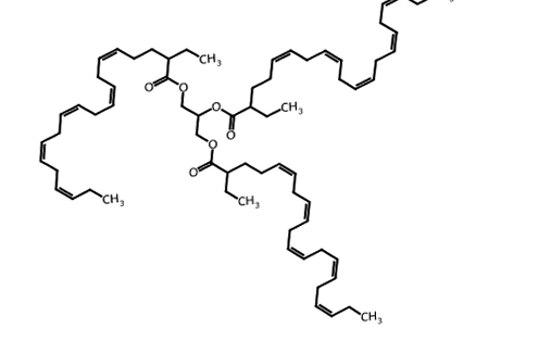 CC/C=C\C/C=C\C/C=C\C/C=C\C/C=C\CCC(CC)C(=O)OCC(COC(=O)C(CC)CC/C=C\C/C=C\C/C=C\C/C=C\C/C=C\CC)OC(=O)C(CC)CC/C=C\C/C=C\C/C=C\C/C=C\C/C=C\CC